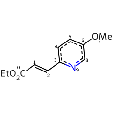 CCOC(=O)/C=C/c1ccc(OC)cn1